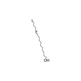 OCCCCCCCCCCCCCCCI